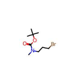 CN(CCCBr)C(=O)OC(C)(C)C